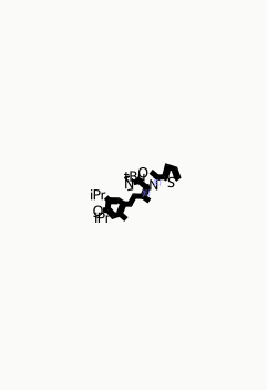 C/C(=N\C(C(=O)N(C)C(C)(C)C)=C(/C)CCc1cc(C(C)C)c(OC(C)C)cc1C)c1cccs1